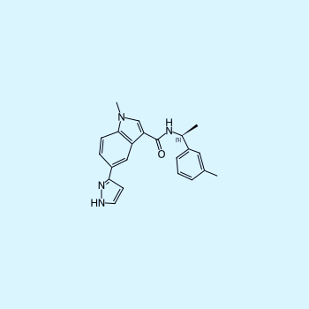 Cc1cccc([C@H](C)NC(=O)c2cn(C)c3ccc(-c4cc[nH]n4)cc23)c1